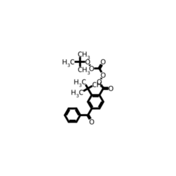 CC(C)(C)OOC(=O)OOC(=O)c1ccc(C(=O)c2ccccc2)cc1C(C)(C)C